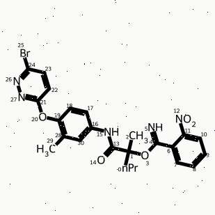 CCCC(C)(OC(=N)c1ccccc1[N+](=O)[O-])C(=O)Nc1ccc(Oc2ccc(Br)nn2)c(C)c1